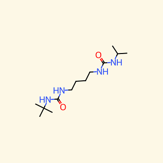 CC(C)NC(=O)NCCCCNC(=O)NC(C)(C)C